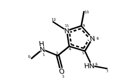 CNC(=O)c1c(NC)nc(C)n1C